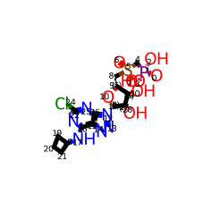 O=P(O)(O)CS(=O)(=O)C[C@H]1O[C@@H](n2nnc3c(NC4CCC4)nc(Cl)nc32)[C@H](O)[C@@H]1O